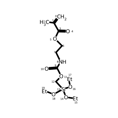 C=C(C)C(=O)OCCNC(=O)OC[Si](OCC)(OCC)OCC